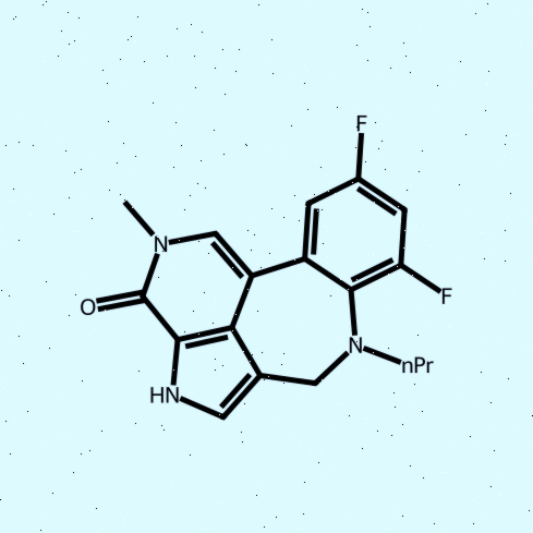 CCCN1Cc2c[nH]c3c(=O)n(C)cc(c23)-c2cc(F)cc(F)c21